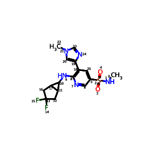 CNS(=O)(=O)c1cnc(NC2C3CC(F)(F)CC32)c(-c2cn(C)cn2)c1